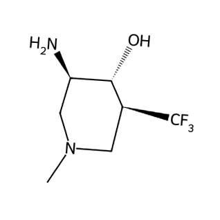 CN1C[C@@H](N)[C@H](O)[C@@H](C(F)(F)F)C1